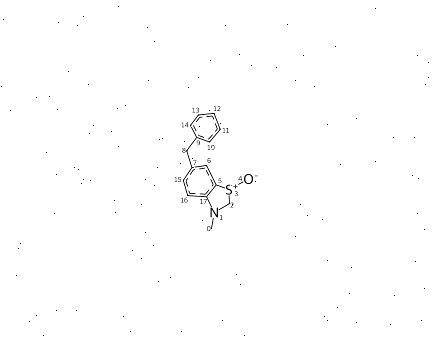 CN1C[S+]([O-])c2cc(Cc3ccccc3)ccc21